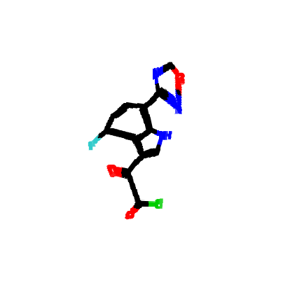 O=C(Cl)C(=O)c1c[nH]c2c(-c3ncon3)ccc(F)c12